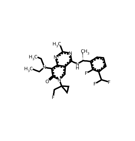 CCN(CC)c1c(=O)n(C2(CF)CC2)cc2c(N[C@H](C)c3cccc(C(F)F)c3F)nc(C)nc12